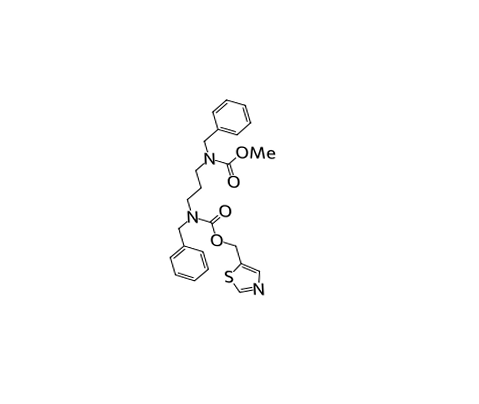 COC(=O)N(CCCN(Cc1ccccc1)C(=O)OCc1cncs1)Cc1ccccc1